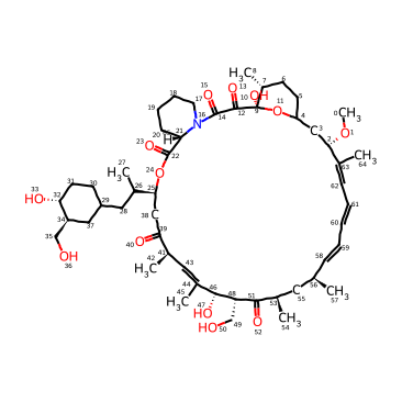 CO[C@H]1CC2CC[C@@H](C)[C@@](O)(O2)C(=O)C(=O)N2CCCC[C@H]2C(=O)O[C@H](C(C)CC2CC[C@@H](O)[C@H](CO)C2)CC(=O)[C@H](C)/C=C(\C)[C@@H](O)[C@@H](CO)C(=O)[C@H](C)C[C@H](C)/C=C/C=C/C=C/1C